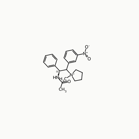 CC(=O)N[C@@H](c1ccccc1)C(c1cccc([N+](=O)[O-])c1)[N+]1(C)CCCC1